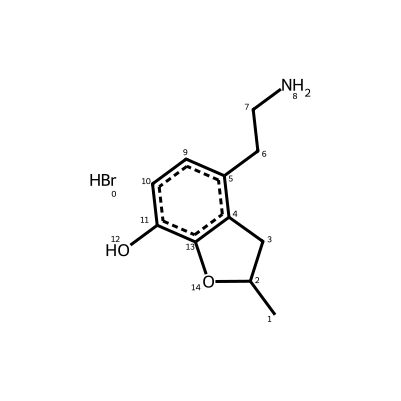 Br.CC1Cc2c(CCN)ccc(O)c2O1